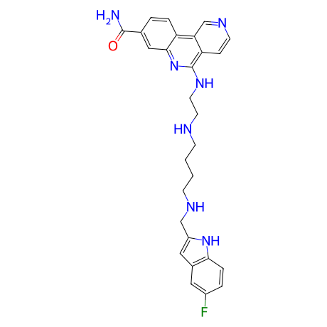 NC(=O)c1ccc2c(c1)nc(NCCNCCCCNCc1cc3cc(F)ccc3[nH]1)c1ccncc12